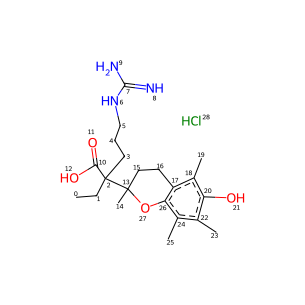 CCC(CCCNC(=N)N)(C(=O)O)C1(C)CCc2c(C)c(O)c(C)c(C)c2O1.Cl